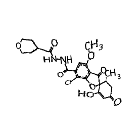 COc1cc(C(=O)NNC(=O)C2CCOCC2)c(Cl)c2c1C(=O)[C@@]1(O2)C(O)=CC(=O)C[C@H]1C